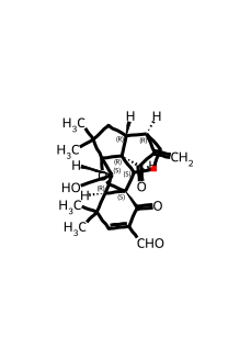 C=C1C(=O)[C@@]23[C@@H]4CC(C)(C)C25OC[C@]2(C(=O)C(C=O)=CC(C)(C)[C@H]2[C@@H]5O)[C@@H]3CC[C@@H]14